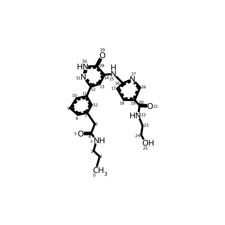 CCCNC(=O)Cc1cccc(-c2cc(Nc3ccc(C(=O)NCCO)cn3)c(=O)[nH]n2)c1